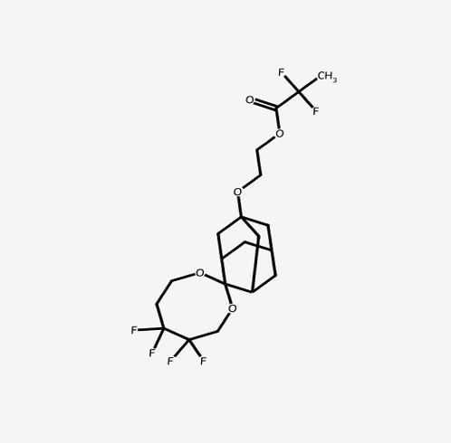 CC(F)(F)C(=O)OCCOC12CC3CC(C1)C1(OCCC(F)(F)C(F)(F)CO1)C(C3)C2